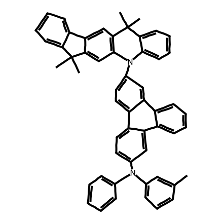 Cc1cccc(N(c2ccccc2)c2ccc3c4ccc(N5c6ccccc6C(C)(C)c6cc7c(cc65)C(C)(C)c5ccccc5-7)cc4c4ccccc4c3c2)c1